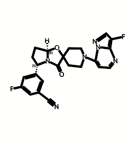 N#Cc1cc(F)cc([C@@H]2CC[C@H]3OC4(CCN(c5ccnc6c(F)cnn56)CC4)C(=O)N32)c1